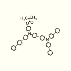 C=C(C)C(=O)Oc1ccc(N(c2ccc(-c3ccc(-c4ccccc4)cc3)cc2)c2ccc(-c3ccc(N(c4ccc(-c5ccccc5)cc4)c4ccc(-c5ccccc5)cc4)cc3)cc2)cc1